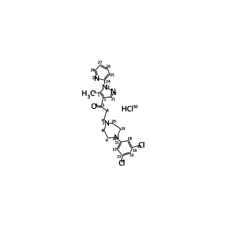 Cc1c(C(=O)CCN2CCN(c3cc(Cl)cc(Cl)c3)CC2)cnn1-c1ccccn1.Cl